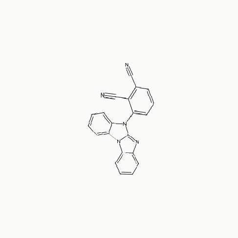 N#Cc1cccc(-n2c3ccccc3n3c4ccccc4nc23)c1C#N